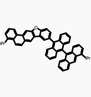 CC(C)c1cccc2c(-c3c4ccccc4c(-c4ccc5oc6cc7c(ccc8c(C(C)C)cccc87)cc6c5c4)c4ccccc34)c3ccccc3cc12